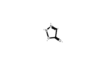 O=C1C=N[N]O1